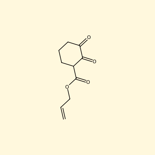 C=CCOC(=O)C1CCCC(=O)C1=O